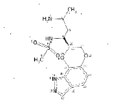 CC(N)CC(NS(C)(=O)=O)[C@H]1COc2ccc3cn[nH]c3c2O1